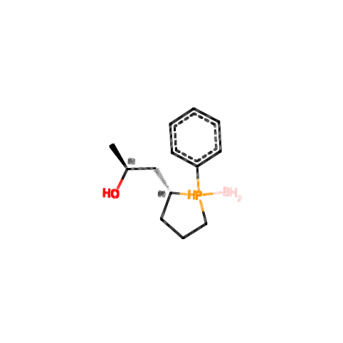 B[PH]1(c2ccccc2)CCC[C@@H]1C[C@H](C)O